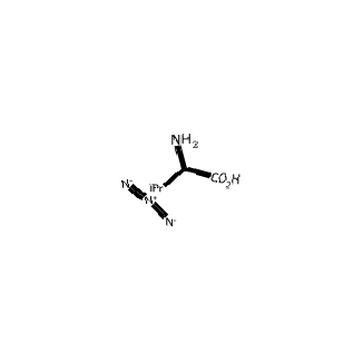 CC(C)C(N)C(=O)O.[N-]=[N+]=[N-]